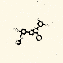 COc1ccc(-c2ccc3c(N4CCOCC4)nc(N4CC(C)OC(C)C4)nc3n2)cc1CNc1cc[nH]n1